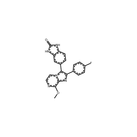 COc1nccn2c(-c3ccc4[nH]c(=O)[nH]c4c3)c(-c3ccc(F)cc3)nc12